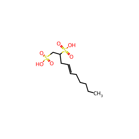 CCCCCC=CCC(CS(=O)(=O)O)S(=O)(=O)O